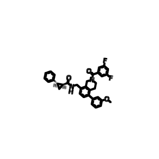 COc1cccc(-c2ccc(CNC(=O)[C@H]3C[C@@H]3c3ccccc3)c3c2CCN(C(=O)c2cc(F)cc(F)c2)C3)c1